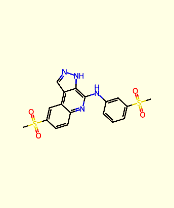 CS(=O)(=O)c1cccc(Nc2nc3ccc(S(C)(=O)=O)cc3c3cn[nH]c23)c1